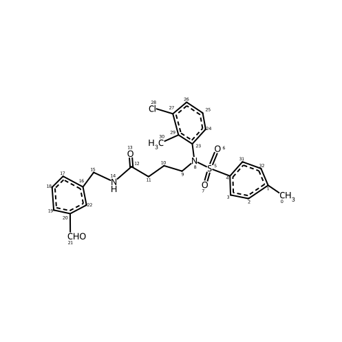 Cc1ccc(S(=O)(=O)N(CCCC(=O)NCc2cccc(C=O)c2)c2cccc(Cl)c2C)cc1